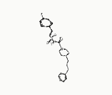 O=C(NS(=O)(=O)C=Cc1ccc(F)cc1)N1CCC(CCCc2ccccc2)CC1